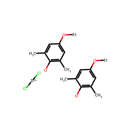 CCOc1cc(C)c([O-])c(C)c1.CCOc1cc(C)c([O-])c(C)c1.[Cl][Zr+2][Cl]